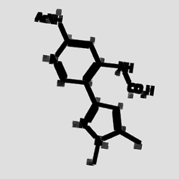 CC(=O)Nc1cc(NC(=O)O)c(-c2cc(C)n(C)n2)cn1